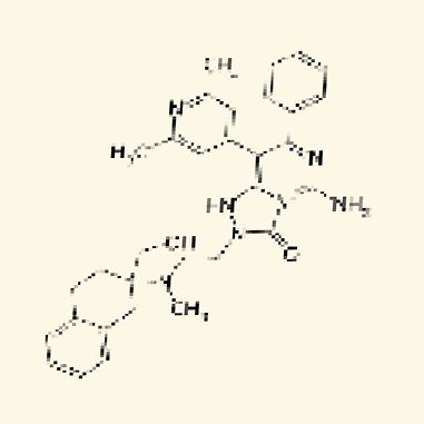 Cc1cc(-c2c(-c3ccccc3)nc(N)[n+]3c(=O)n(CCN(C)C4(CO)CCc5ccccc5C4)[nH]c23)cc(C)n1